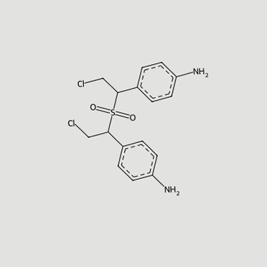 Nc1ccc(C(CCl)S(=O)(=O)C(CCl)c2ccc(N)cc2)cc1